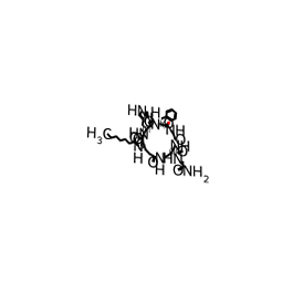 CCCCCCC(=O)N[C@H]1CCC(=O)NCC[C@@H](C(=O)NCC(N)=O)NC(=O)CNC(=O)[C@@H](Cc2ccccc2)NC(=O)[C@H](Cc2c[nH]cn2)NC1=O